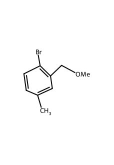 COCc1cc(C)ccc1Br